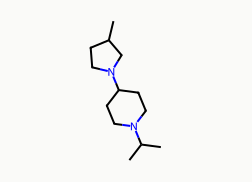 CC1CCN(C2CCN(C(C)C)CC2)C1